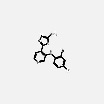 Nc1nnc(-c2ccncc2Nc2ccc(Br)cc2Br)o1